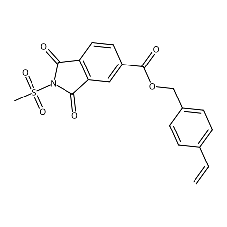 C=Cc1ccc(COC(=O)c2ccc3c(c2)C(=O)N(S(C)(=O)=O)C3=O)cc1